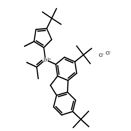 CC1=[C]([Zr+2](=[C](C)C)[c]2cc(C(C)(C)C)cc3c2Cc2ccc(C(C)(C)C)cc2-3)CC(C(C)(C)C)=C1.[Cl-].[Cl-]